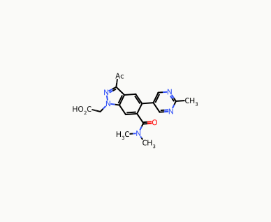 CC(=O)c1nn(CC(=O)O)c2cc(C(=O)N(C)C)c(-c3cnc(C)nc3)cc12